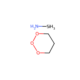 C1COOOC1.N[SiH3]